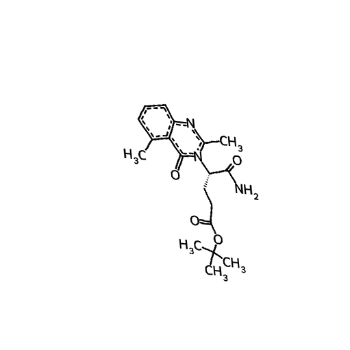 Cc1cccc2nc(C)n([C@@H](CCC(=O)OC(C)(C)C)C(N)=O)c(=O)c12